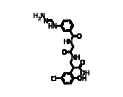 NN=CNc1cccc(C(=O)NCC(=O)NCC(C(=O)O)c2cc(Cl)ccc2O)c1